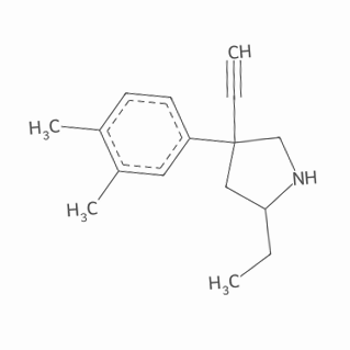 C#CC1(c2ccc(C)c(C)c2)CNC(CC)C1